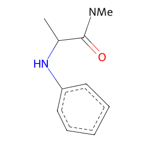 CNC(=O)C(C)Nc1ccccc1